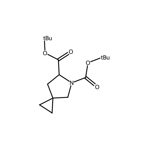 CC(C)(C)OC(=O)C1CC2(CC2)CN1C(=O)OC(C)(C)C